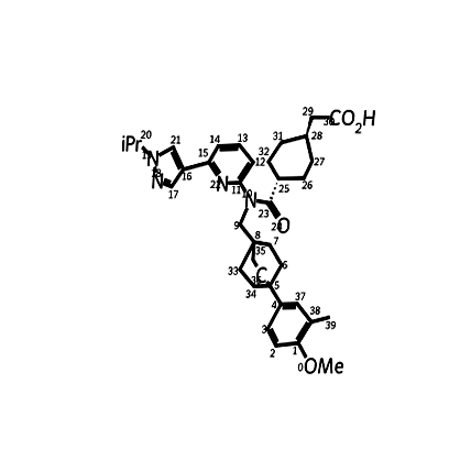 COc1ccc(C23CCC(CN(c4cccc(-c5cnn(C(C)C)c5)n4)C(=O)[C@H]4CC[C@H](CC(=O)O)CC4)(CC2)CC3)cc1C